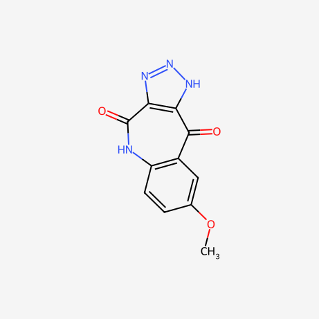 COc1ccc2[nH]c(=O)c3nn[nH]c3c(=O)c2c1